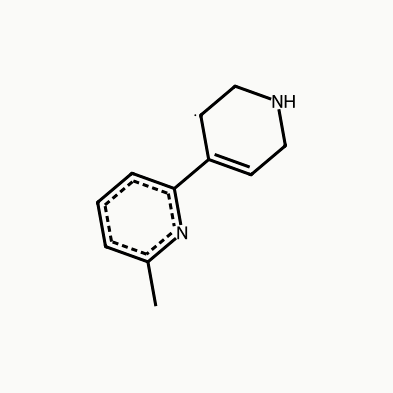 Cc1cccc(C2=CCNC[CH]2)n1